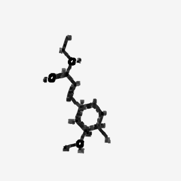 CCOC(=O)/C=C/c1ccc(C)c(OC)c1